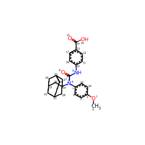 COc1ccc(N(C(=O)Nc2ccc(C(=O)O)cc2)C23CC4CC(CC(C4)C2)C3)cc1